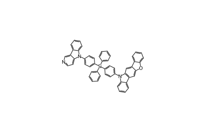 c1ccc([Si](c2ccccc2)(c2ccc(-n3c4ccccc4c4cnccc43)cc2)c2ccc(-n3c4ccccc4c4cc5oc6ccccc6c5cc43)cc2)cc1